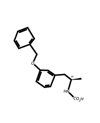 C[C@H](Cc1cccc(OCc2ccccc2)c1)NC(=O)O